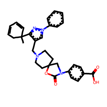 CC1(c2nn(-c3ccccc3)cc2CN2CCC3(CC2)CN(c2ccc(C(=O)O)cc2)C(=O)O3)C=CC=CC1